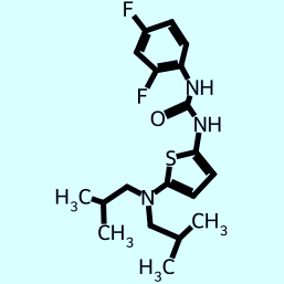 CC(C)CN(CC(C)C)c1ccc(NC(=O)Nc2ccc(F)cc2F)s1